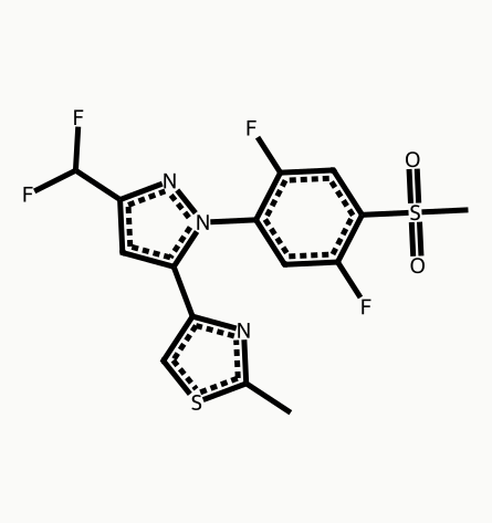 Cc1nc(-c2cc(C(F)F)nn2-c2cc(F)c(S(C)(=O)=O)cc2F)cs1